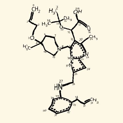 C=CCOC1(C)CCN(c2c(C(OC(C)(C)C)C(=O)O)c(C)nc3cc(CNc4ccccc4CC=C)nn23)CC1